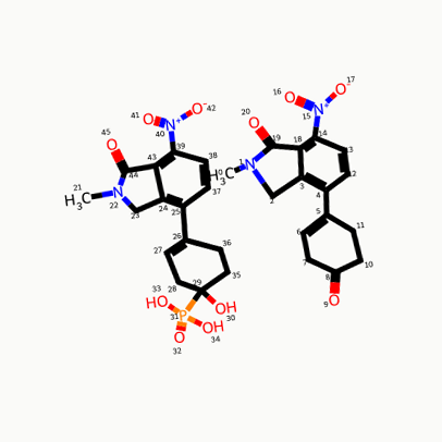 CN1Cc2c(C3=CCC(=O)CC3)ccc([N+](=O)[O-])c2C1=O.CN1Cc2c(C3=CCC(O)(P(=O)(O)O)CC3)ccc([N+](=O)[O-])c2C1=O